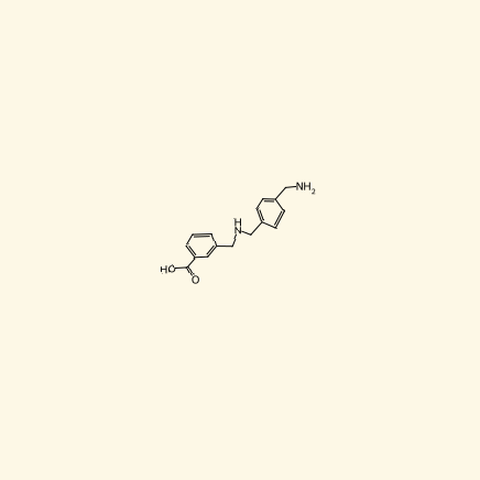 NCc1ccc(CNCc2cccc(C(=O)O)c2)cc1